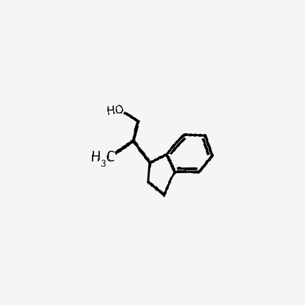 CC(CO)C1CCc2ccccc21